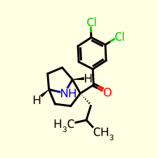 CC(C)C[C@]1(C(=O)c2ccc(Cl)c(Cl)c2)CC[C@@H]2CC[C@H]1N2